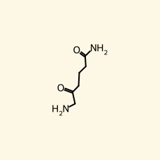 NCC(=O)CCCC(N)=O